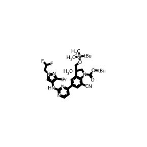 CC(C)c1nn(CC(F)F)cc1Nc1nccc(-c2cc(C#N)c3c(c2)[C@@](C)(CO[Si](C)(C)C(C)(C)C)CN3C(=O)OC(C)(C)C)n1